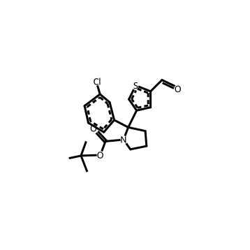 CC(C)(C)OC(=O)N1CCCC1(c1cccc(Cl)c1)c1csc(C=O)c1